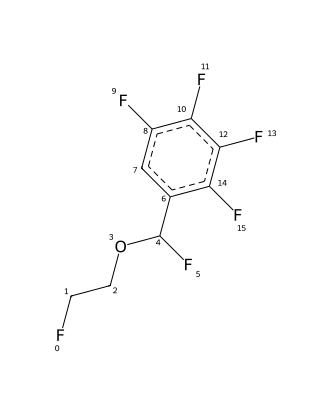 FCCOC(F)c1cc(F)c(F)c(F)c1F